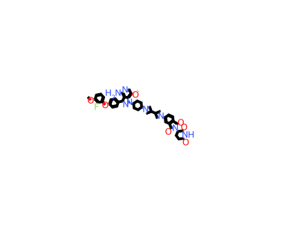 COc1cccc(Oc2ccc(-c3nn(C4CCC(N5CC(C6CN(c7ccc8c(c7)C(=O)N(C7CCC(=O)NC7=O)C8=O)C6)C5)CC4)c4c(OC)cnc(N)c34)cc2)c1F